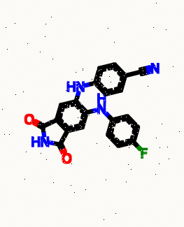 N#Cc1ccc(Nc2cc3c(cc2Nc2ccc(F)cc2)C(=O)NC3=O)cc1